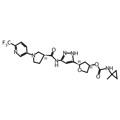 CC1(NC(=O)O[C@H]2CO[C@@H](c3cc(NC(=O)[C@H]4CCN(c5ccc(C(F)(F)F)nc5)C4)n[nH]3)C2)CC1